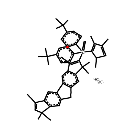 Cl.Cl.[CH2]=[Zr]([C]1=C(C)C(C)=CC1C)([C]1=C(C)c2cc3c(cc2C1(C)C)Cc1cc2c(cc1-3)C(C)=CC2(C)C)([c]1ccc(C(C)(C)C)cc1)[c]1ccc(C(C)(C)C)cc1